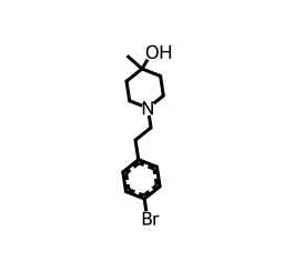 CC1(O)CCN(CCc2ccc(Br)cc2)CC1